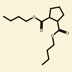 CCCCOC(=O)C1CCCC1C(=O)OCCCC